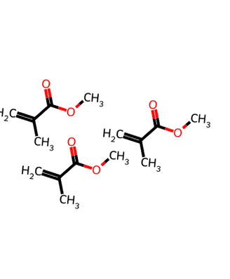 C=C(C)C(=O)OC.C=C(C)C(=O)OC.C=C(C)C(=O)OC